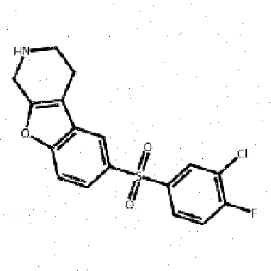 O=S(=O)(c1ccc(F)c(Cl)c1)c1ccc2oc3c(c2c1)CCNC3